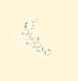 CC(=O)N[C@@H](C(O)[C@H](OC(C)=O)[C@@H](CNC(=O)c1ccc(-c2ccccc2)cc1)OC(C)=O)C(N=[N+]=[N-])[C@@H]1O[C@H]1C(=O)O